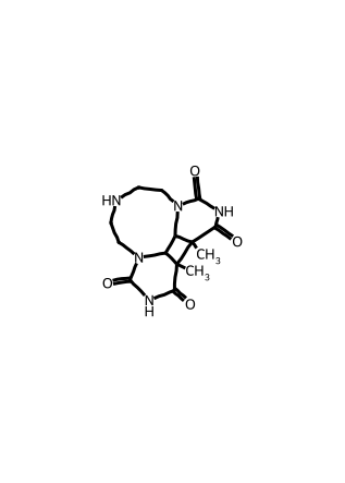 CC12C(=O)NC(=O)N3CCNCCN4C(=O)NC(=O)C1(C)C4C32